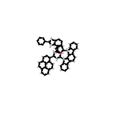 c1ccc(-c2nc3cccc(-c4nc(-c5ccc6ccc7cccc8ccc5c6c78)nc(-n5c6ccccc6c6ccc7c8ccccc8n(-c8ccccc8)c7c65)n4)c3o2)cc1